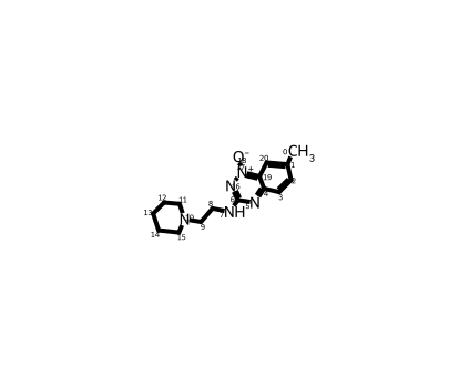 Cc1ccc2nc(NCCN3CCCCC3)n[n+]([O-])c2c1